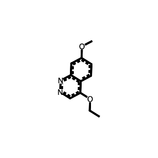 CCOc1cnnc2cc(OC)ccc12